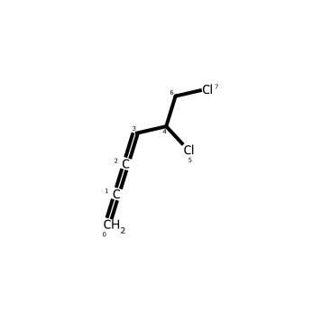 C=C=C=CC(Cl)CCl